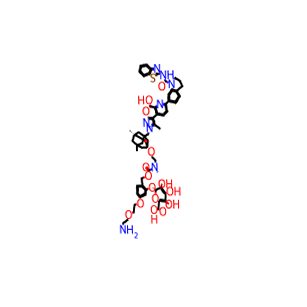 Cc1c(-c2ccc(-c3ccc4c(c3)N(C(=O)Nc3nc5ccccc5s3)CCC4)nc2C(=O)O)cnn1CC12CC3(C)C[C@@](C)(C1)C[C@@](OCCN(C)C(=O)OCc1ccc(OCCOCCN)cc1O[C@H]1OC(C(=O)O)=C(O)C(O)=C1O)(C3)C2